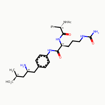 CC(=O)N[C@H](C(=O)N[C@@H](CCCNC(N)=O)C(=O)Nc1ccc(C[C@H](N)C[C@H](C)C(=O)O)cc1)C(C)C